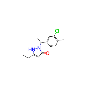 CCc1cc(=O)n(C(C)c2ccc(C)c(Cl)c2)[nH]1